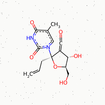 C=CC[C@@]1(n2cc(C)c(=O)[nH]c2=O)O[C@H](CO)[C@@H](O)C1=C=O